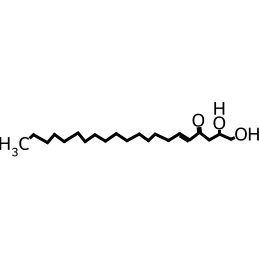 CCCCCCCCCCCCCCCC=CC(=O)CC(O)CO